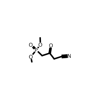 COP(=O)(CC(=O)CC#N)OC